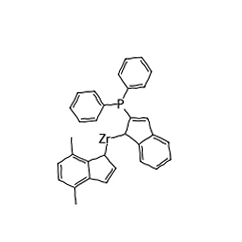 Cc1ccc(C)c2c1C=C[CH]2[Zr][CH]1C(P(c2ccccc2)c2ccccc2)=Cc2ccccc21